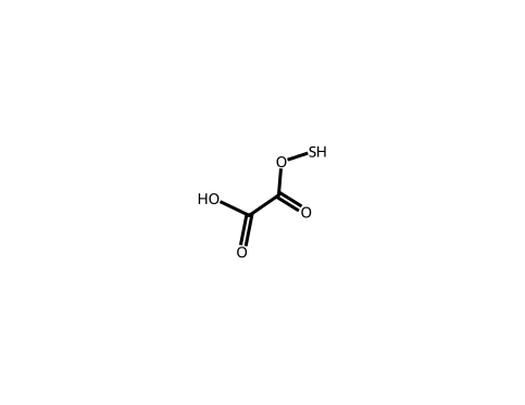 O=C(O)C(=O)OS